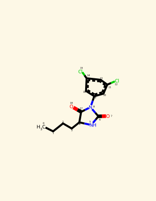 CCCCC1NC(=O)N(c2cc(Cl)cc(Cl)c2)C1=O